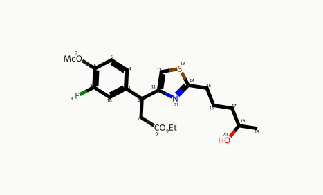 CCOC(=O)CC(c1ccc(OC)c(F)c1)c1csc(CCCC(C)O)n1